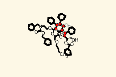 CCCCOCC(O[C@@H](OCCN(Cc1ccccc1)C(=O)OCc1ccccc1)[C@H](COC(=O)c1ccccc1)OC(=O)c1ccccc1)[C@H](C)O[C@H](OC1COC(c2ccccc2)O[C@H]1C)[C@H](CO)OC(=O)c1ccccc1